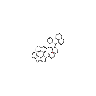 c1ccc(-c2ccc3oc4ccccc4c3c2-c2cc(-c3c4ccccc4c(-c4cccc5ccccc45)c4ccccc34)cc3ccccc23)cc1